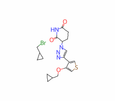 BrCC1CC1.O=C1CCC(n2cc(-c3cscc3OCC3CC3)nn2)C(=O)N1